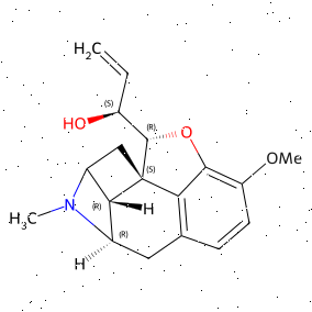 C=C[C@H](O)[C@@H]1Oc2c(OC)ccc3c2[C@@]12CC1[C@H]2[C@@H](C3)N1C